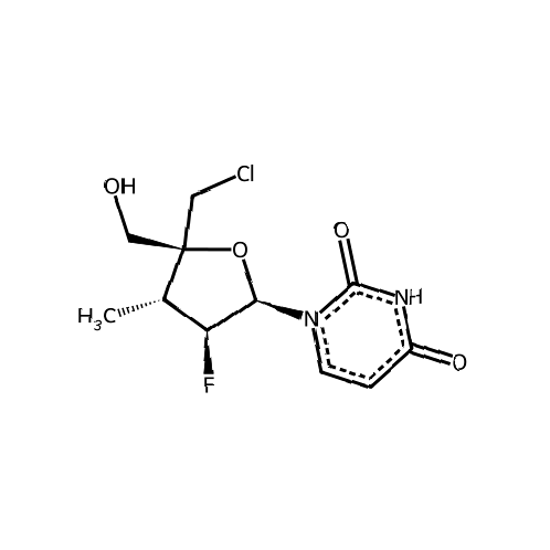 C[C@H]1[C@H](F)[C@H](n2ccc(=O)[nH]c2=O)O[C@@]1(CO)CCl